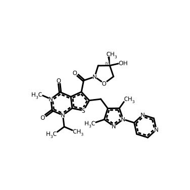 Cc1nn(-c2ccncn2)c(C)c1Cc1sc2c(c1C(=O)N1C[C@](C)(O)CO1)c(=O)n(C)c(=O)n2C(C)C